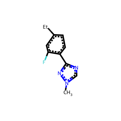 CCc1ccc(-c2ncn(C)n2)c(F)c1